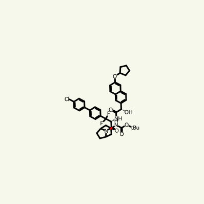 CC(C)(C)OC(=O)NC1CC2CCC(C1)N2C(=O)[C@@H](NC(=O)[C@@H](O)c1ccc2cc(OC3CCCC3)ccc2c1)C(F)(F)c1ccc(-c2ccc(Cl)cc2)cc1